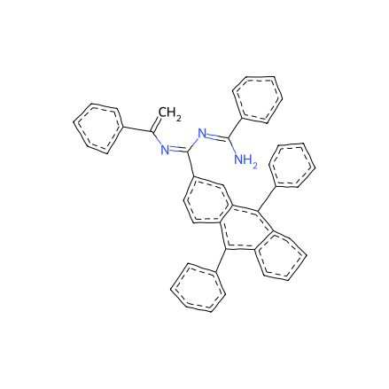 C=C(/N=C(\N=C(/N)c1ccccc1)c1ccc2c(-c3ccccc3)c3ccccc3c(-c3ccccc3)c2c1)c1ccccc1